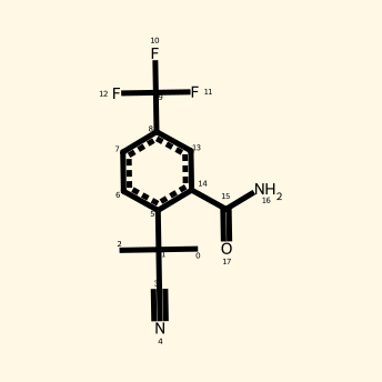 CC(C)(C#N)c1ccc(C(F)(F)F)cc1C(N)=O